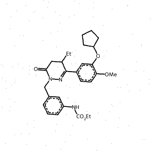 CCOC(=O)Nc1cccc(CN2N=C(c3ccc(OC)c(OC4CCCC4)c3)C(CC)CC2=O)c1